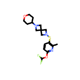 Cc1nc(OC(F)F)ccc1SN1CC2(C1)CN(C1CCOCC1)C2